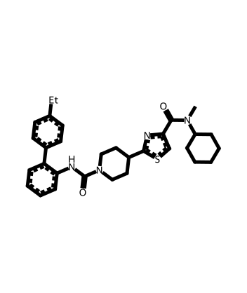 CCc1ccc(-c2ccccc2NC(=O)N2CCC(c3nc(C(=O)N(C)C4CCCCC4)cs3)CC2)cc1